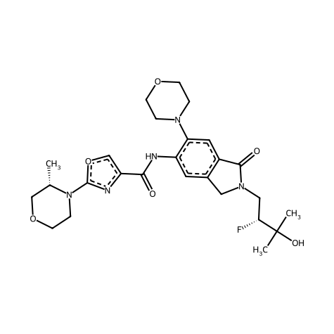 C[C@H]1COCCN1c1nc(C(=O)Nc2cc3c(cc2N2CCOCC2)C(=O)N(C[C@@H](F)C(C)(C)O)C3)co1